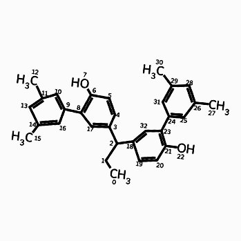 CCC(c1ccc(O)c(-c2cc(C)cc(C)c2)c1)c1ccc(O)c(-c2cc(C)cc(C)c2)c1